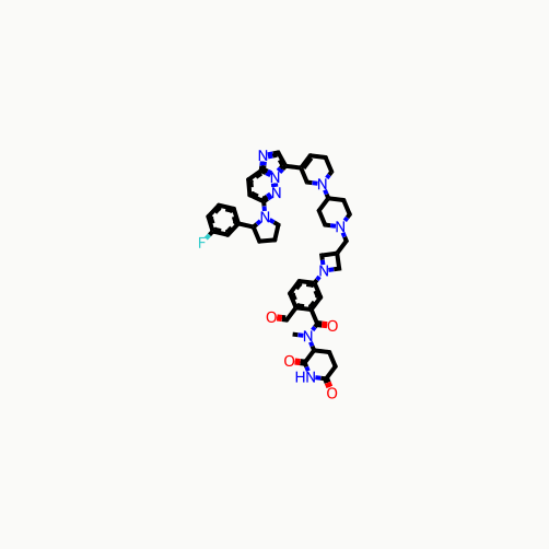 CN(C(=O)c1cc(N2CC(CN3CCC(N4CCC=C(c5cnc6ccc(N7CCCC7c7cccc(F)c7)nn56)C4)CC3)C2)ccc1C=O)C1CCC(=O)NC1=O